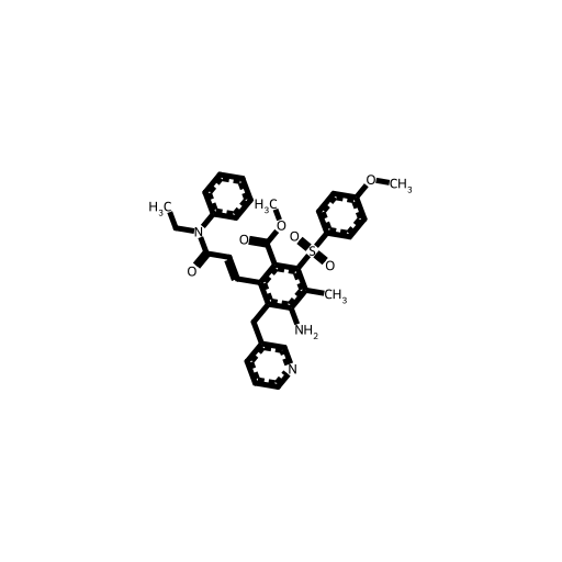 CCN(C(=O)C=Cc1c(Cc2cccnc2)c(N)c(C)c(S(=O)(=O)c2ccc(OC)cc2)c1C(=O)OC)c1ccccc1